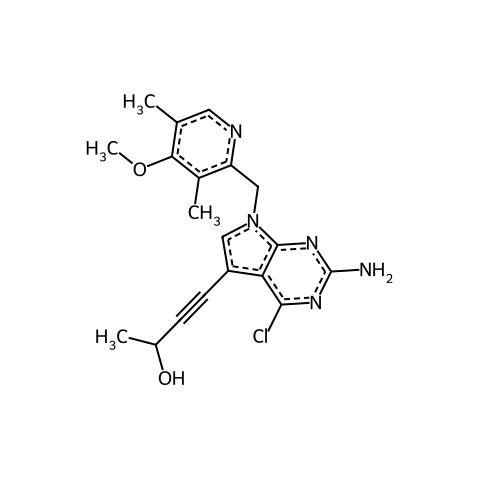 COc1c(C)cnc(Cn2cc(C#CC(C)O)c3c(Cl)nc(N)nc32)c1C